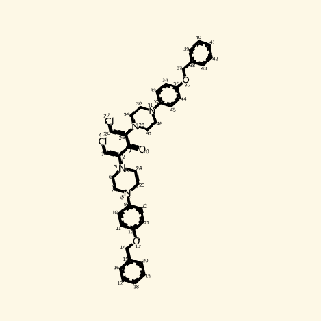 O=C(C(=CCl)N1CCN(c2ccc(OCc3ccccc3)cc2)CC1)C(=CCl)N1CCN(c2ccc(OCc3ccccc3)cc2)CC1